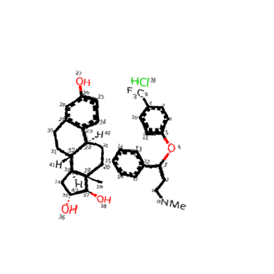 CNCCC(Oc1ccc(C(F)(F)F)cc1)c1ccccc1.C[C@]12CC[C@@H]3c4ccc(O)cc4CC[C@H]3[C@@H]1C[C@@H](O)[C@@H]2O.Cl